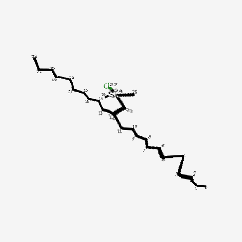 CCCCCCCCCCCCC(CCCCCCCCCC)C[Si](C)(C)Cl